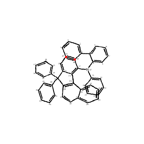 c1ccc(-c2ccccc2N(c2ccccc2)c2cccc3c2-c2c(ccc4ccccc24)C3(c2ccccc2)c2ccccc2)cc1